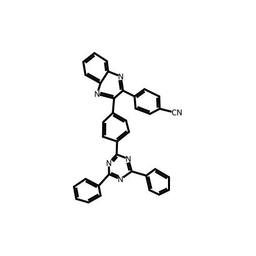 N#Cc1ccc(-c2nc3ccccc3nc2-c2ccc(-c3nc(-c4ccccc4)nc(-c4ccccc4)n3)cc2)cc1